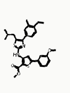 CCc1ccc(-c2nc(Nc3cc(-c4cccc(OC)c4)sc3C(=O)OC)sc2CC(C)C)cc1C